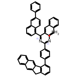 NC/N=C(\N=C(/c1ccc2ccccc2c1)c1cccc2cc(-c3ccccc3)ccc12)c1ccc(-c2cccc3c2-c2cc4ccccc4cc2C3)cc1